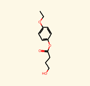 CCOc1ccc(OC(=O)CCCO)cc1